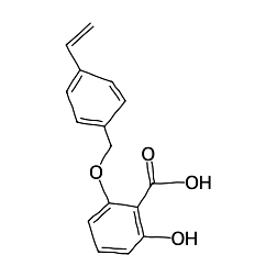 C=Cc1ccc(COc2cccc(O)c2C(=O)O)cc1